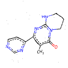 Cc1c(-c2ccncn2)nc2n(c1=O)CCCN2